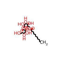 C=CCCCCCCCCC(=O)OCC1OC(OC2OC(CO)C(O)C(O)C2O)C(O)C(O)C1O